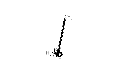 CCCCCCCCC=CCCCCCCCC(=O)c1ccccc1C(C)(C)N